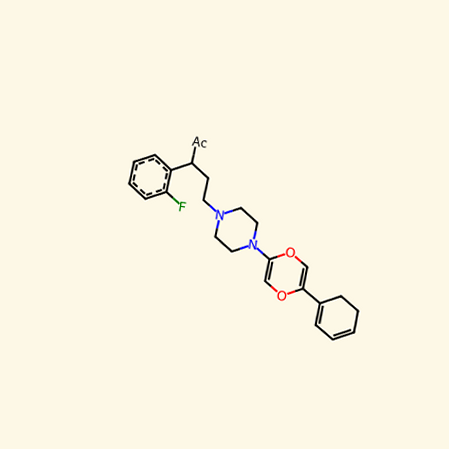 CC(=O)C(CCN1CCN(C2=COC(C3=CC=CCC3)=CO2)CC1)c1ccccc1F